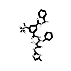 Cc1cnc(NC(=O)[C@H](O)[C@H](Cc2ccccc2)NC(=O)c2cc(C(=O)N[C@H](C)c3ccccc3)cc(N(C)S(C)(=O)=O)c2)[nH]1